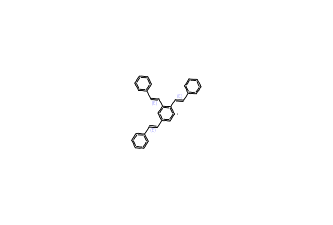 [c]1cc(/C=C/c2ccccc2)cc(/C=C/c2ccccc2)c1/C=C/c1ccccc1